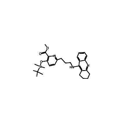 COC(=O)c1nc(CCCNc2c3c(nc4ccccc24)CCCC3)ccc1O[Si](C)(C)C(C)(C)C